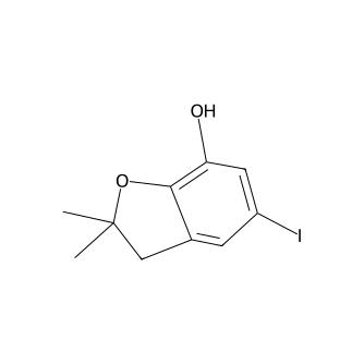 CC1(C)Cc2cc(I)cc(O)c2O1